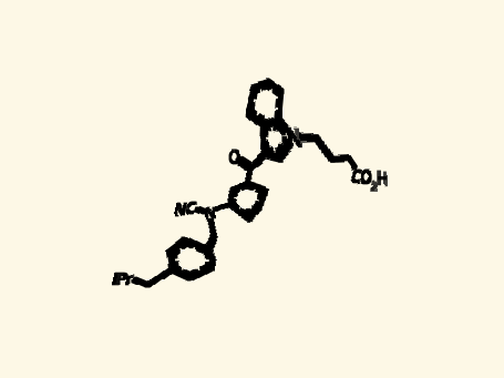 CC(C)Cc1ccc(CN(C#N)c2cccc(C(=O)c3cn(CCCC(=O)O)c4ccccc34)c2)cc1